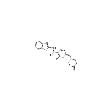 O=C(Nc1nc2ccccc2s1)C1=C(F)CC(=CC2CCNCC2)C=C1